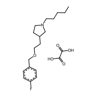 CCCCCN1CCC(CCOCc2ccc(F)cc2)C1.O=C(O)C(=O)O